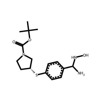 CC(C)(C)OC(=O)N1CC[C@@H](Sc2ccc(C(N)NO)cc2)C1